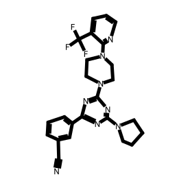 N#Cc1cccc(-c2nc(N3CCCC3)nc(N3CCN(c4ncccc4C(F)(F)F)CC3)n2)c1